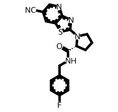 N#Cc1cnc2nc(N3CCC[C@@H]3C(=O)NCc3ccc(F)cc3)sc2c1